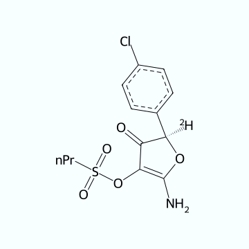 [2H][C@]1(c2ccc(Cl)cc2)OC(N)=C(OS(=O)(=O)CCC)C1=O